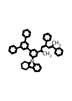 C=C(/C=C(\C=C(/C)c1ccccc1)c1ccccc1)c1cc(-c2cc(-c3ccccc3)cc(-c3ccccc3)c2)cc(-n2c3c(c4ccccc42)CCCC3)c1